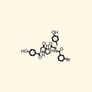 O=C(N[C@@H](Cc1ccc(O)cc1)C(=O)N1CC[C@@H]2[C@H]1C(=O)CN2C(=O)c1ccc(O)cc1)c1cccc(Br)c1